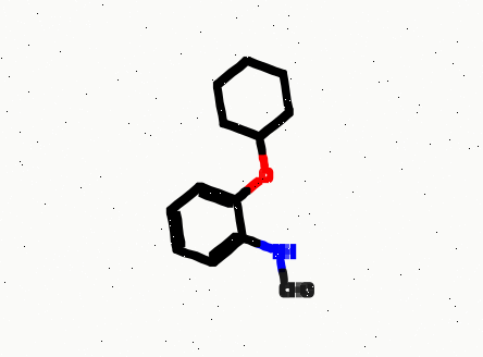 O=CNc1ccccc1OC1CCCCC1